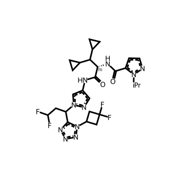 CC(C)n1nccc1C(=O)N[C@H](C(=O)Nc1cnn(C(CC(F)F)c2nnnn2C2CC(F)(F)C2)c1)C(C1CC1)C1CC1